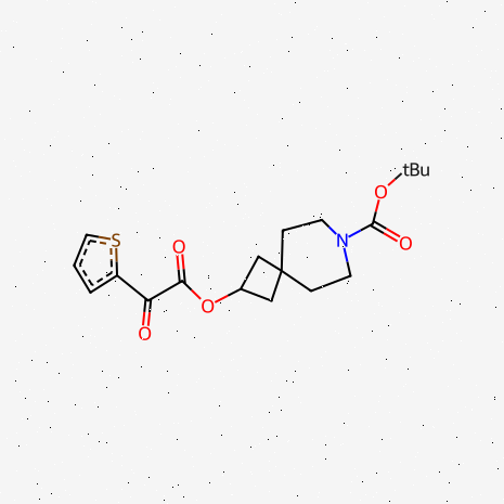 CC(C)(C)OC(=O)N1CCC2(CC1)CC(OC(=O)C(=O)c1cccs1)C2